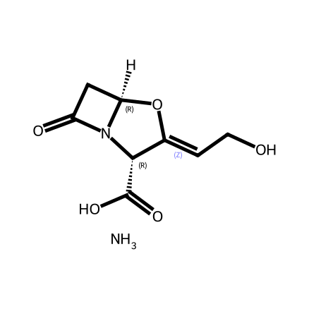 N.O=C(O)[C@H]1/C(=C/CO)O[C@@H]2CC(=O)N21